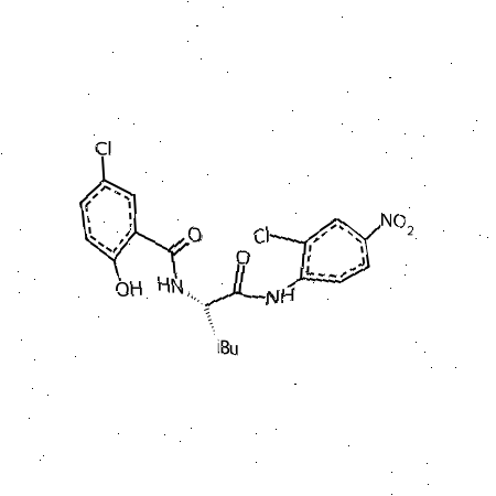 CC[C@@H](C)[C@H](NC(=O)c1cc(Cl)ccc1O)C(=O)Nc1ccc([N+](=O)[O-])cc1Cl